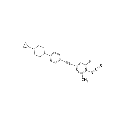 Cc1cc(C#Cc2ccc(C3CCC(C4CC4)CC3)cc2)cc(F)c1N=C=S